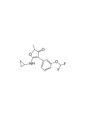 CC1OC(NC2CC2)=C(c2cccc(OC(F)F)c2)C1=O